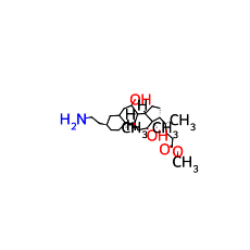 COC(=O)CC[C@@H](C)[C@H]1CC[C@H]2[C@@H]3[C@H](O)CC4C[C@H](CCN)CC[C@]4(C)[C@H]3C[C@H](O)[C@]12C